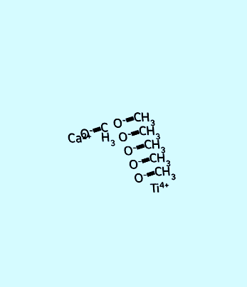 C[O-].C[O-].C[O-].C[O-].C[O-].C[O-].[Ca+2].[Ti+4]